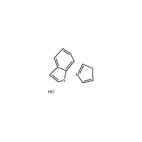 Cl.c1ccc2sccc2c1.c1cscn1